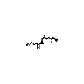 CC(C)NCCNC1CC1C[C@@H](C)CCNCC1CC1